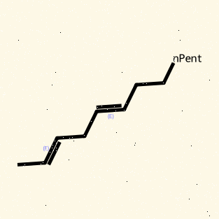 [CH2]CCCCCC/C=C/C/C=C/C